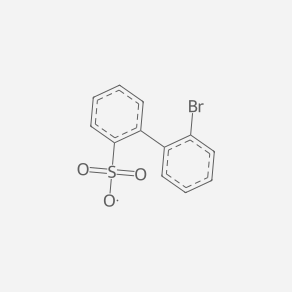 [O]S(=O)(=O)c1ccccc1-c1ccccc1Br